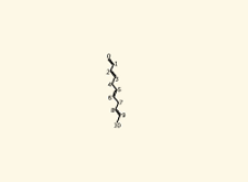 C=CC=CCC=CCC=CC